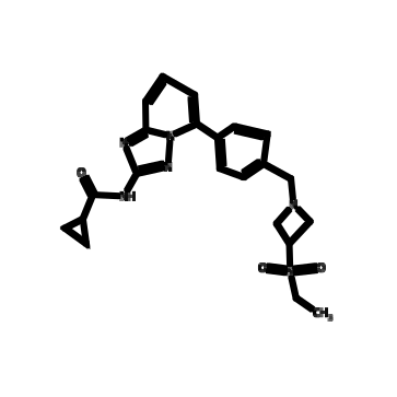 CCS(=O)(=O)C1CN(Cc2ccc(-c3cccc4nc(NC(=O)C5CC5)nn34)cc2)C1